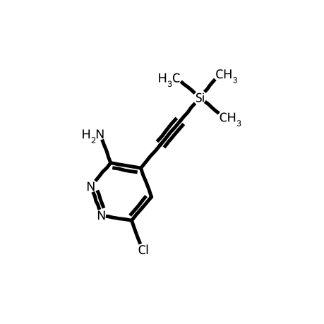 C[Si](C)(C)C#Cc1cc(Cl)nnc1N